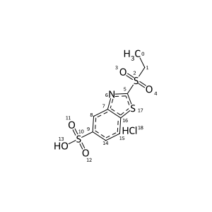 CCS(=O)(=O)c1nc2cc(S(=O)(=O)O)ccc2s1.Cl